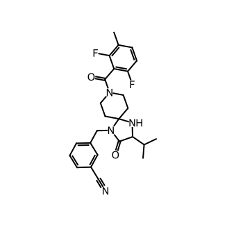 Cc1ccc(F)c(C(=O)N2CCC3(CC2)NC(C(C)C)C(=O)N3Cc2cccc(C#N)c2)c1F